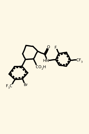 O=C(Nc1ccc(C(F)(F)F)cc1F)C1CCCC(c2ccc(C(F)(F)F)c(Br)c2)C1C(=O)O